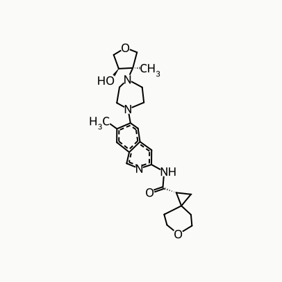 Cc1cc2cnc(NC(=O)[C@@H]3CC34CCOCC4)cc2cc1N1CCN([C@]2(C)COC[C@@H]2O)CC1